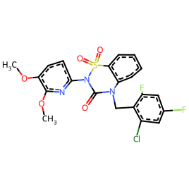 COc1ccc(N2C(=O)N(Cc3c(F)cc(F)cc3Cl)c3ccccc3S2(=O)=O)nc1OC